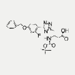 CC(C)(C)OC(=O)NC(CC(=O)O)Cn1nnc(-c2ccc(OCc3ccccc3)cc2F)n1